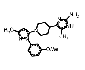 COc1cccc(-n2nc(C)cc2N2CCC(c3nc(N)[nH]c3C)CC2)c1